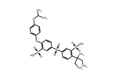 CCC(C)(CC)c1ccc(S(=O)(=O)c2ccc(Oc3ccc(OC(C)C)cc3)c(S(=O)(=O)O)c2)cc1S(=O)(=O)O